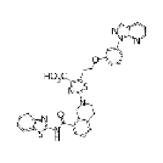 O=C(Nc1nc2ccccc2s1)c1cccc2c1CN(c1nc(C(=O)O)c(CCOc3cccc(-n4ncc5cccnc54)c3)s1)CC2